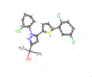 CC(C)(O)c1cc(-c2ccc(-c3cc(Cl)ccc3Cl)s2)n(-c2ccccc2Cl)n1